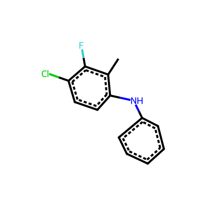 Cc1c(Nc2ccccc2)ccc(Cl)c1F